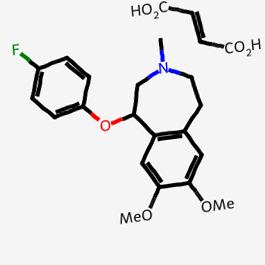 COc1cc2c(cc1OC)C(Oc1ccc(F)cc1)CN(C)CC2.O=C(O)C=CC(=O)O